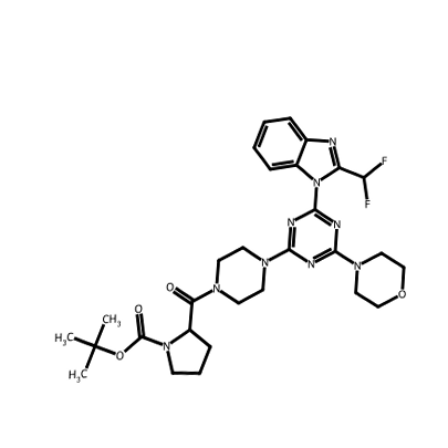 CC(C)(C)OC(=O)N1CCCC1C(=O)N1CCN(c2nc(N3CCOCC3)nc(-n3c(C(F)F)nc4ccccc43)n2)CC1